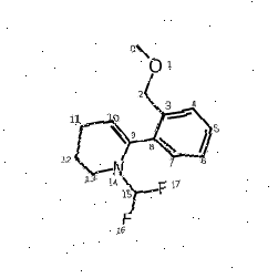 COCc1ccccc1C1=CCCCN1C(F)F